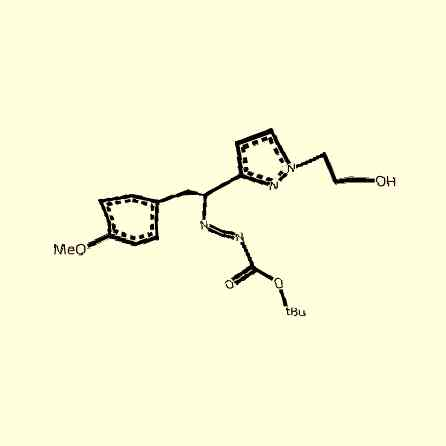 COc1ccc(C[C@H](N=NC(=O)OC(C)(C)C)c2ccn(CCO)n2)cc1